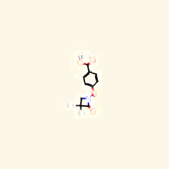 CCC1(CC)CN(Oc2ccc(C(=O)OC(C)(C)C)cc2)C1=O